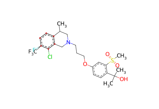 CC(CN(CCCOc1ccc(C(C)(C)O)c(S(C)(=O)=O)c1)Cc1cccc(C(F)(F)F)c1Cl)c1ccc(F)cc1